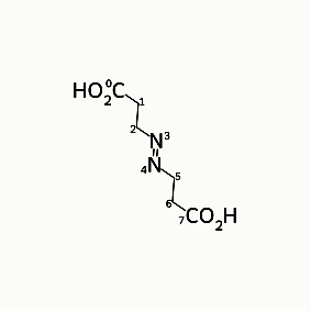 O=C(O)CCN=NCCC(=O)O